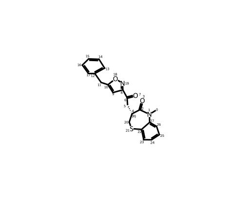 CN1C(=O)[C@@H](CC(=O)c2cc(Cc3ccccc3)on2)CSc2ccccc21